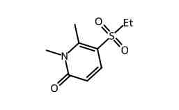 CCS(=O)(=O)c1ccc(=O)n(C)c1C